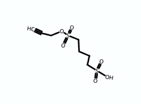 C#CCOS(=O)(=O)CCCCS(=O)(=O)O